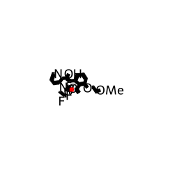 C=C(F)c1c(OCCOC)cccc1C1=C(O)c2ncccc2N(CC(F)F)S1(=O)=O